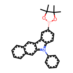 CC1(C)OB(c2ccc3c(c2)c2cc4ccccc4cc2n3-c2ccccc2)OC1(C)C